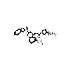 Cc1cccc(N(CC(=O)NC2Cc3ccccc3C2)CC(=O)N2CCC(N)C2)c1